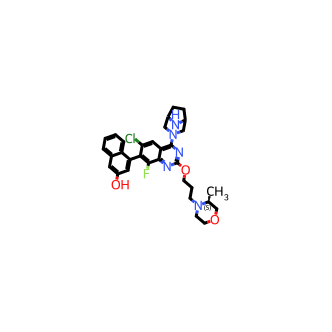 C[C@H]1COCCN1CCCOc1nc(N2CC3CCC(C2)N3)c2cc(Cl)c(-c3cc(O)cc4ccccc34)c(F)c2n1